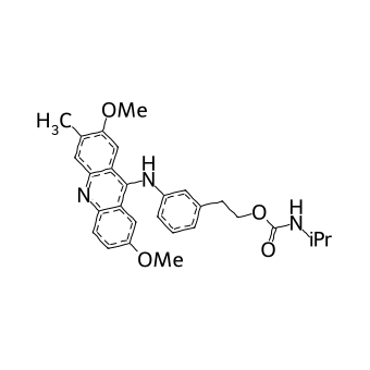 COc1ccc2nc3cc(C)c(OC)cc3c(Nc3cccc(CCOC(=O)NC(C)C)c3)c2c1